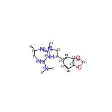 CC1CN=C(N(C)C)NC(N(C)CCc2ccc3c(c2)OCO3)=N1